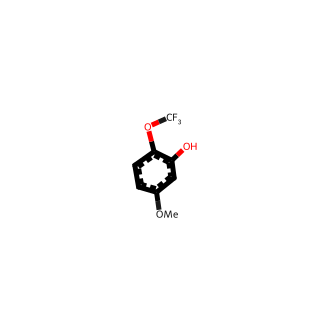 COc1ccc(OC(F)(F)F)c(O)c1